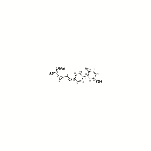 COC(=O)C1CC1COc1ccc(-c2cc(O)ccc2F)cc1